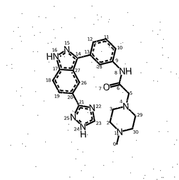 CN1CCN(CC(=O)Nc2cccc(-c3n[nH]c4ccc(-c5nc[nH]n5)cc34)c2)CC1